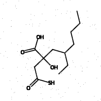 CCCCC(CC)CC(O)(CC(=O)S)C(=O)O